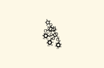 Clc1nc(OC2CCCC2)c2ncc([C@@H]3O[C@H](COCc4ccccc4)[C@@H](OCc4ccccc4)[C@H]3OCc3ccccc3)n2n1